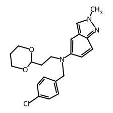 Cn1cc2cc(N(CCC3OCCCO3)Cc3ccc(Cl)cc3)ccc2n1